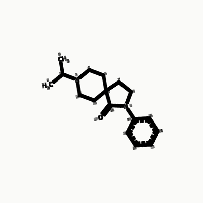 CC(C)N1CCC2(CCN(c3ccccc3)C2=O)CC1